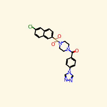 O=C(c1ccc(-n2cnnc2)cc1)N1CCN(S(=O)(=O)c2ccc3cc(Cl)ccc3c2)CC1